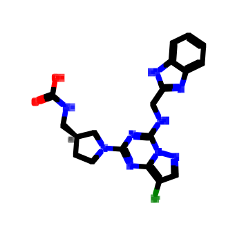 O=C(O)NC[C@@H]1CCN(c2nc(NCc3nc4ccccc4[nH]3)n3ncc(Br)c3n2)C1